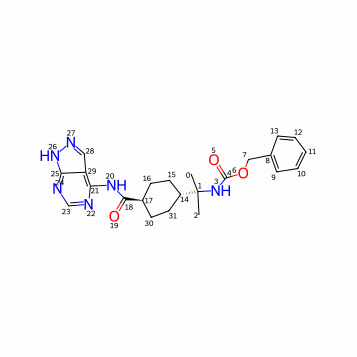 CC(C)(NC(=O)OCc1ccccc1)[C@H]1CC[C@H](C(=O)Nc2ncnc3[nH]ncc23)CC1